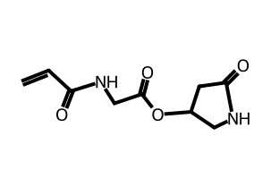 C=CC(=O)NCC(=O)OC1CNC(=O)C1